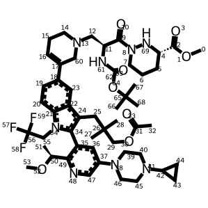 COC(=O)[C@@H]1CCCN(C(=O)[C@H](CN2CCC=C(c3ccc4c(c3)c(CC(C)(C)COC(C)=O)c(-c3cc(N5CCN(C6CC6)CC5)cnc3[C@H](C)OC)n4CC(F)(F)F)C2)NC(=O)OC(C)(C)C)N1